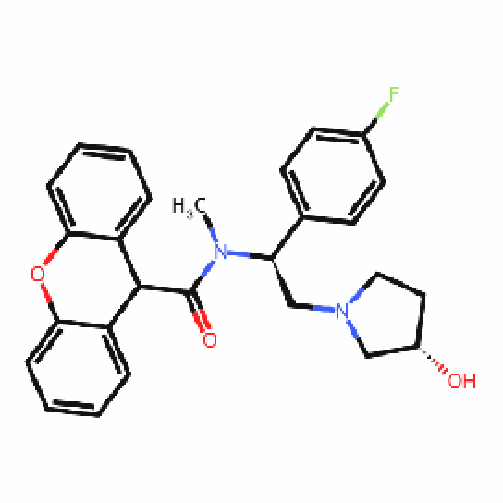 CN(C(=O)C1c2ccccc2Oc2ccccc21)[C@H](CN1CC[C@H](O)C1)c1ccc(F)cc1